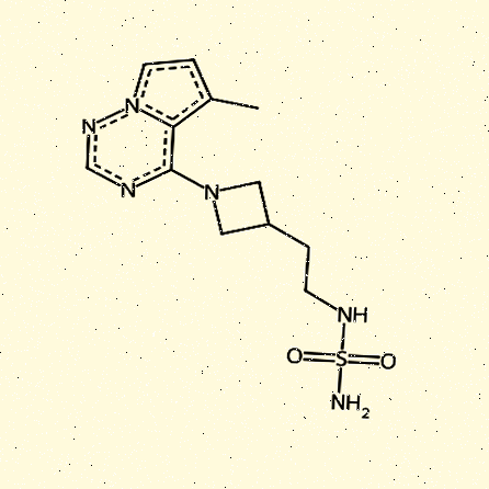 Cc1ccn2ncnc(N3CC(CCNS(N)(=O)=O)C3)c12